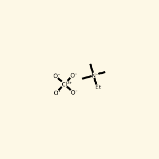 CC[N+](C)(C)C.[O-][Cl+3]([O-])([O-])[O-]